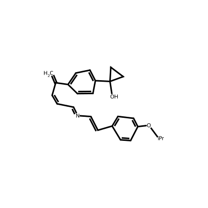 C=C(\C=C/C=N/C=C/c1ccc(OC(C)C)cc1)c1ccc(C2(O)CC2)cc1